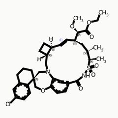 CCOC(=O)[C@H](OC)[C@@H]1/C=C/[C@@H]2CC[C@H]2CN2C[C@@]3(CCCc4cc(Cl)ccc43)COc3ccc(cc32)C(=O)NS(=O)(=O)[C@H](C)[C@@H](C)C1